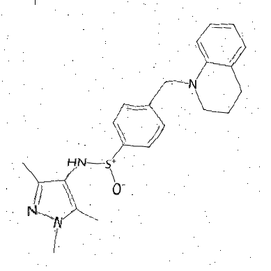 Cc1nn(C)c(C)c1N[S+]([O-])c1ccc(CN2CCCc3ccccc32)cc1